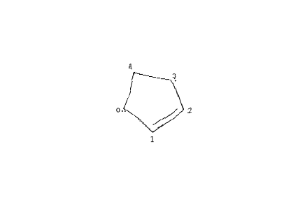 [C]1C=C[C]C1